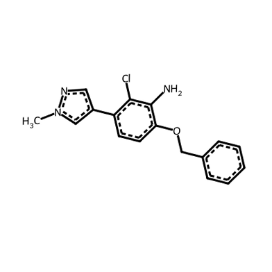 Cn1cc(-c2ccc(OCc3ccccc3)c(N)c2Cl)cn1